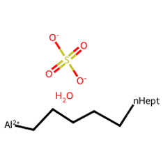 CCCCCCCCCCC[CH2][Al+2].O.O=S(=O)([O-])[O-]